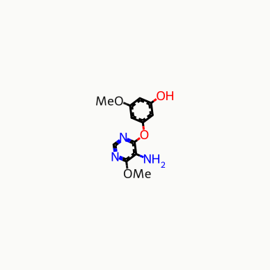 COc1cc(O)cc(Oc2ncnc(OC)c2N)c1